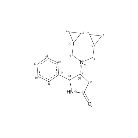 O=C1C[C@@H](N(CC2CC2)CC2CC2)C(c2ccccc2)N1